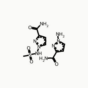 CS(=O)(=O)Nn1ccc(C(N)=O)n1.NC(=O)c1ccn(N)n1